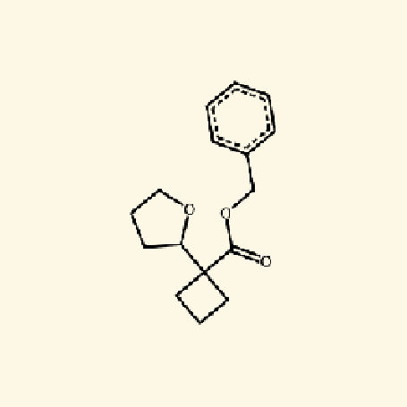 O=C(OCc1ccccc1)C1(C2CCCO2)CCC1